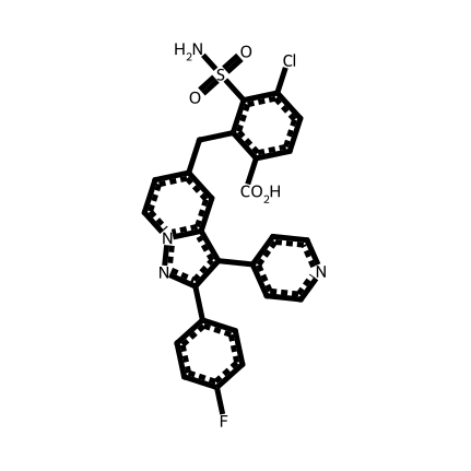 NS(=O)(=O)c1c(Cl)ccc(C(=O)O)c1Cc1ccn2nc(-c3ccc(F)cc3)c(-c3ccncc3)c2c1